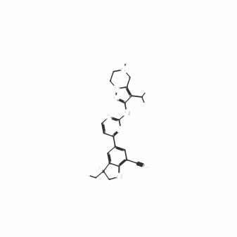 CC(C)c1c(Nc2nccc(-c3cc(C#N)c4c(c3)[C@@](C)(CO)CN4)n2)nn2c1CN(C)CC2